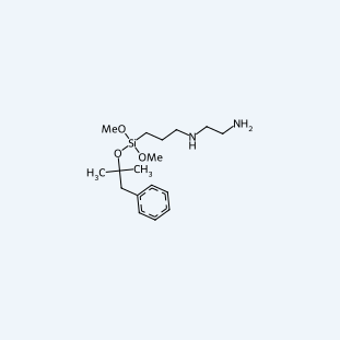 CO[Si](CCCNCCN)(OC)OC(C)(C)Cc1ccccc1